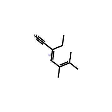 CC/C(C#N)=C\C(C)=C(C)C